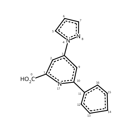 O=C(O)c1cc(-n2cccn2)cc(-c2ccccc2)n1